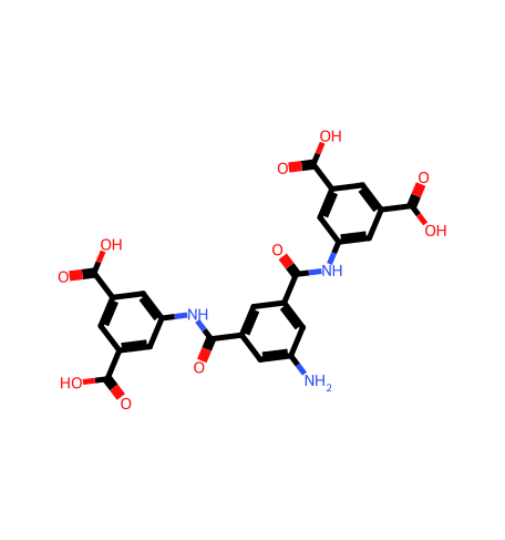 Nc1cc(C(=O)Nc2cc(C(=O)O)cc(C(=O)O)c2)cc(C(=O)Nc2cc(C(=O)O)cc(C(=O)O)c2)c1